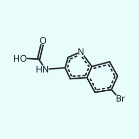 O=C(O)Nc1cnc2ccc(Br)cc2c1